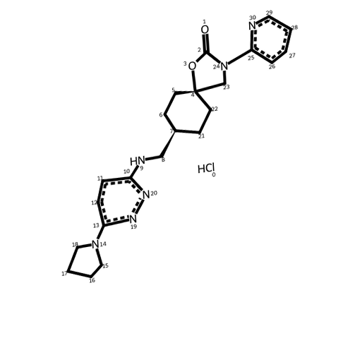 Cl.O=C1O[C@]2(CC[C@H](CNc3ccc(N4CCCC4)nn3)CC2)CN1c1ccccn1